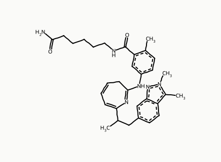 Cc1ccc(NC2=NC(C(C)Cc3ccc4c(C)n(C)nc4c3)=CC=CC2)cc1C(=O)NCCCCCC(N)=O